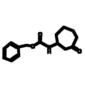 O=C1CCCCC(NC(=O)OCc2ccccc2)C1